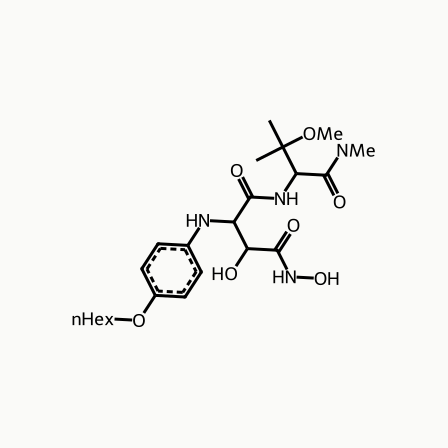 CCCCCCOc1ccc(NC(C(=O)NC(C(=O)NC)C(C)(C)OC)C(O)C(=O)NO)cc1